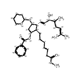 COC(=O)CCCCCC[C@@H]1[C@@H](/C=C/[C@H](O)C(C)CC=C(C)C)[C@H](OC2CCCCO2)C[C@@H]1OC(=O)c1ccccc1